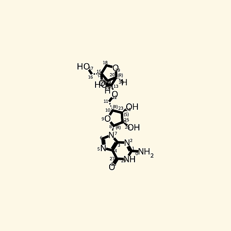 Nc1nc2c(ncn2[C@@H]2O[C@H](CO[C@@H]3O[C@@]4(CO)CO[C@@H]3[C@@H]4O)[C@@H](O)[C@H]2O)c(=O)[nH]1